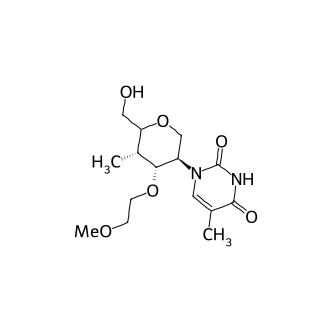 COCCO[C@@H]1[C@H](C)C(CO)OC[C@H]1n1cc(C)c(=O)[nH]c1=O